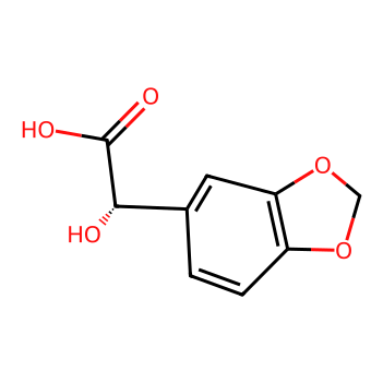 O=C(O)[C@@H](O)c1ccc2c(c1)OCO2